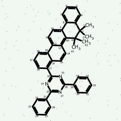 CC1(C)c2ccccc2-c2ccc3c(ccc4c(-c5nc(-c6ccccc6)nc(-c6ccccc6)n5)cccc43)c2C1(C)C